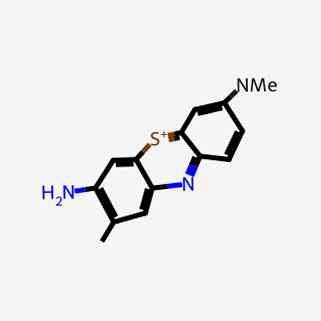 CNc1ccc2nc3cc(C)c(N)cc3[s+]c2c1